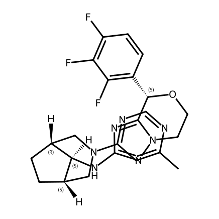 Cc1cc(N2C[C@H]3CC[C@@H](C2)[C@@H]3Nc2nc3n(n2)CCO[C@H]3c2ccc(F)c(F)c2F)ncn1